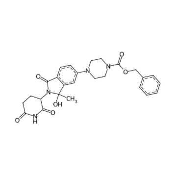 CC1(O)c2cc(N3CCN(C(=O)OCc4ccccc4)CC3)ccc2C(=O)N1C1CCC(=O)NC1=O